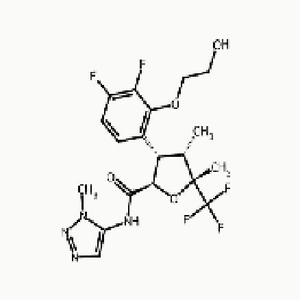 C[C@H]1[C@@H](c2ccc(F)c(F)c2OCCO)[C@H](C(=O)Nc2cnnn2C)O[C@@]1(C)C(F)(F)F